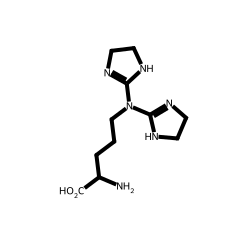 NC(CCCN(C1=NCCN1)C1=NCCN1)C(=O)O